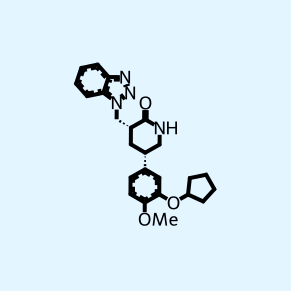 COc1ccc([C@H]2CNC(=O)[C@@H](Cn3nnc4ccccc43)C2)cc1OC1CCCC1